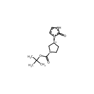 CC(C)(C)OC(=O)N1CC[C@H](n2cc[nH]c2=O)C1